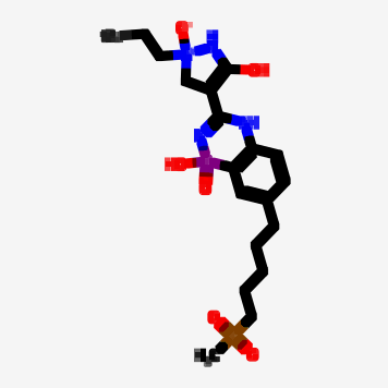 CC(C)(C)CC[N+]1([O-])CC(C2=NP(=O)(O)c3cc(CCCCCS(C)(=O)=O)ccc3N2)=C(O)N1